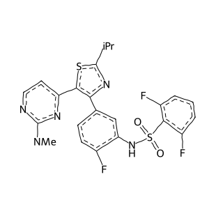 CNc1nccc(-c2sc(C(C)C)nc2-c2ccc(F)c(NS(=O)(=O)c3c(F)cccc3F)c2)n1